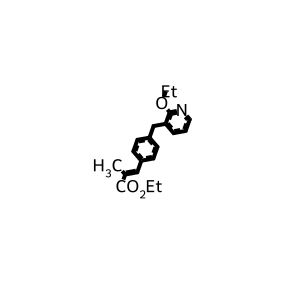 CCOC(=O)C(C)=Cc1ccc(Cc2cccnc2OCC)cc1